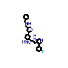 Fc1cccc(-c2cncc3[nH]c(-c4n[nH]c5ccc(-c6cncc(CNCc7ccccc7)c6)cc45)cc23)c1